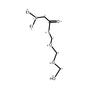 CCN(CC)CC(=O)SCOCOCO